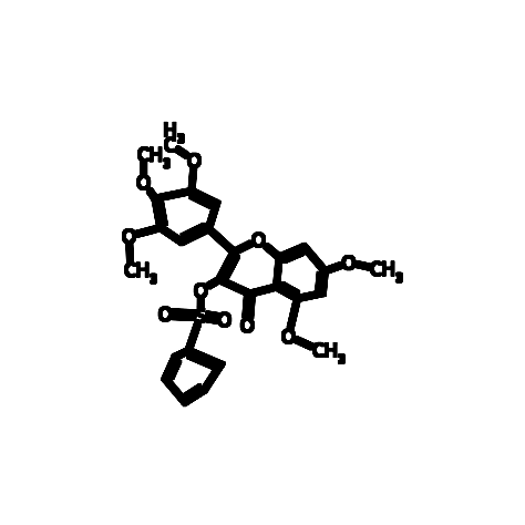 COc1cc(OC)c2c(=O)c(OS(=O)(=O)c3ccccc3)c(-c3cc(OC)c(OC)c(OC)c3)oc2c1